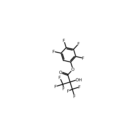 O=C(Oc1cc(F)c(F)c(F)c1F)C(O)(C(F)(F)F)C(F)(F)F